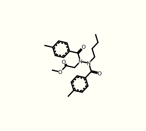 CCCCN(C(=O)c1ccc(C)cc1)N(CC(=O)OC)C(=O)c1ccc(C)cc1